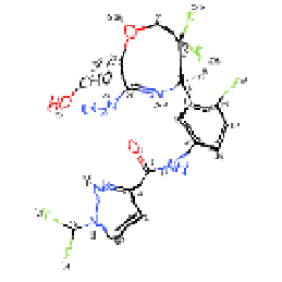 C[C@]1(c2cc(NC(=O)c3ccn(C(F)F)n3)ccc2F)N=C(N)COCC1(F)F.O=CO